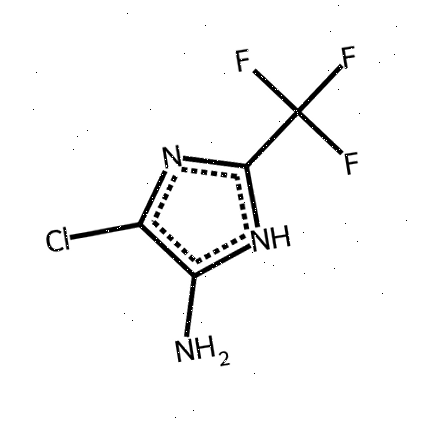 Nc1[nH]c(C(F)(F)F)nc1Cl